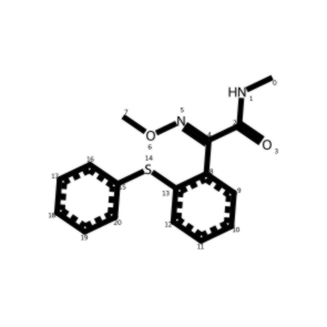 CNC(=O)/C(=N/OC)c1ccccc1Sc1ccccc1